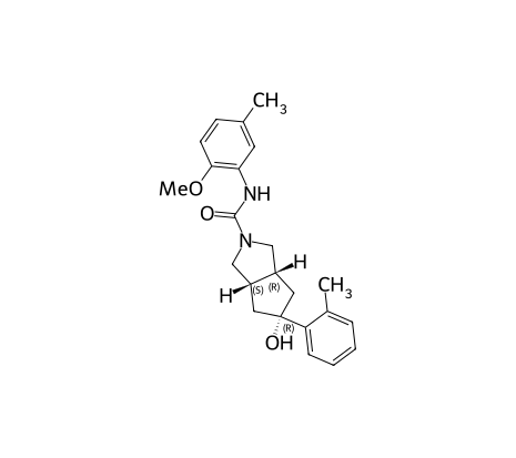 COc1ccc(C)cc1NC(=O)N1C[C@@H]2C[C@@](O)(c3ccccc3C)C[C@@H]2C1